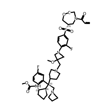 C=CC(=O)N1CCOC[C@@H](S(=O)(=O)c2ccc(N3CC(CN4CCC([C@@](CN5CCC5)(c5cccc(F)c5)[C@H]5CCC[C@@H]5NC(=O)OC)CC4)(OC)C3)c(F)c2)C1